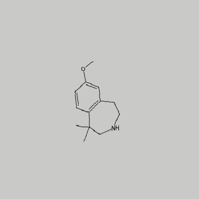 COc1ccc2c(c1)CCNCC2(C)C